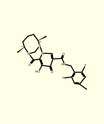 Cc1cc(F)c(CNC(=O)c2cn3c(c(O)c2=O)C(=O)N2CN3[C@H](C)CCC[C@@H]2C)c(F)c1